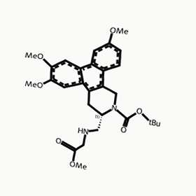 COC(=O)CNC[C@@H]1Cc2c(c3ccc(OC)cc3c3cc(OC)c(OC)cc23)CN1C(=O)OC(C)(C)C